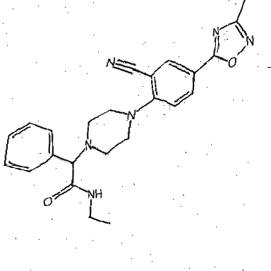 CCNC(=O)C(c1ccccc1)N1CCN(c2ccc(-c3nc(C)no3)cc2C#N)CC1